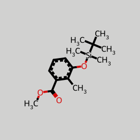 COC(=O)c1cccc(O[Si](C)(C)C(C)(C)C)c1C